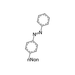 CCCCCCCCCc1ccc(/N=N/c2ccccc2)cc1